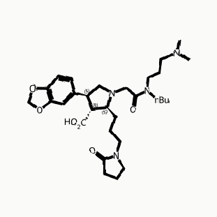 CCCCN(CCCN(C)C)C(=O)CN1C[C@H](c2ccc3c(c2)OCO3)[C@@H](C(=O)O)[C@@H]1CCCN1CCCC1=O